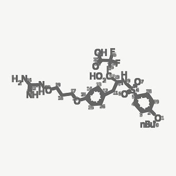 CCCCOc1ccc(S(=O)(=O)N[C@@H](Cc2ccc(OCCCONC(=N)N)cc2)C(=O)O)cc1.O=C(O)C(F)(F)F